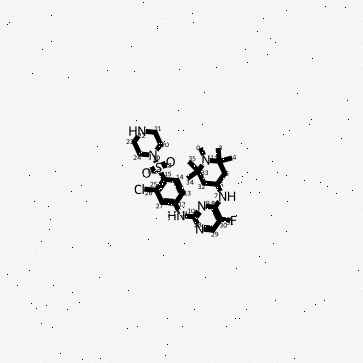 CN1C(C)(C)CC(Nc2nc(Nc3ccc(S(=O)(=O)N4CCNCC4)c(Cl)c3)ncc2F)CC1(C)C